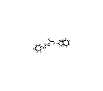 CC(CSc1nc2ccccc2s1)OCOc1ccccc1